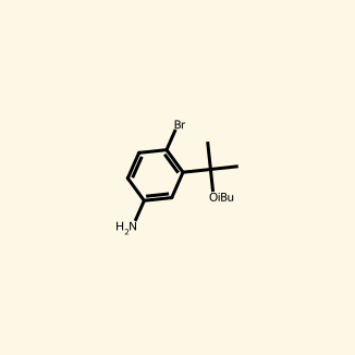 CC(C)COC(C)(C)c1cc(N)ccc1Br